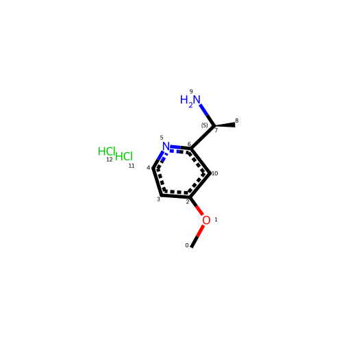 COc1ccnc([C@H](C)N)c1.Cl.Cl